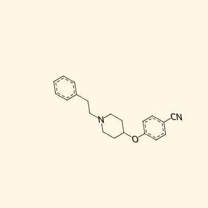 N#Cc1ccc(OC2CCN(CCc3ccccc3)CC2)cc1